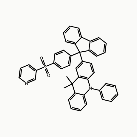 CC1(C)c2ccccc2N(c2ccccc2)c2ccc(C3(c4ccc(S(=O)(=O)c5cccnc5)cc4)c4ccccc4-c4ccccc43)cc21